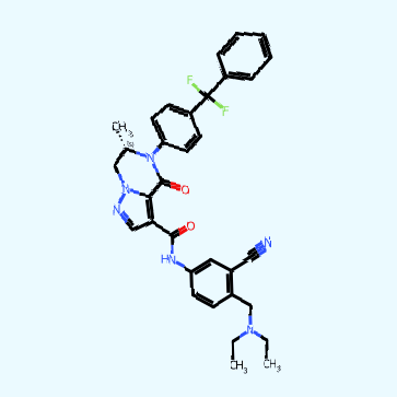 CCN(CC)Cc1ccc(NC(=O)c2cnn3c2C(=O)N(c2ccc(C(F)(F)c4ccccc4)cc2)[C@@H](C)C3)cc1C#N